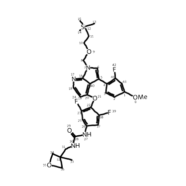 COc1ccc(-c2cn(COCC[Si](C)(C)C)c3nccc(Oc4c(F)cc(NC(=O)NCC5(C)COC5)cc4F)c23)c(F)c1